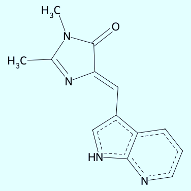 CC1=N/C(=C\c2c[nH]c3ncccc23)C(=O)N1C